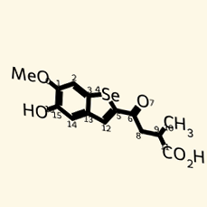 COc1cc2[se]c(C(=O)CC(C)C(=O)O)cc2cc1O